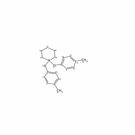 Cc1ccc(OC2(Oc3ccc(C)cc3)CCCCC2)cc1